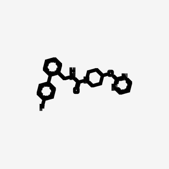 O=C(NCc1ccccc1-c1ccc(F)cc1)N1CCC(Oc2ncccn2)CC1